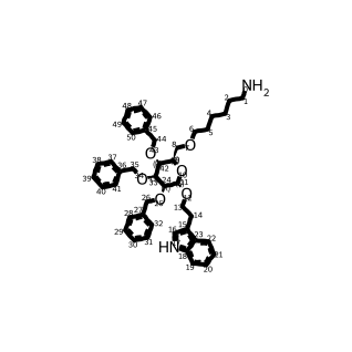 NCCCCCCOC[C@H]1O[C@H](OCCc2c[nH]c3ccccc23)[C@H](OCc2ccccc2)[C@@H](OCc2ccccc2)[C@@H]1OCc1ccccc1